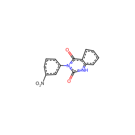 O=c1[nH]c2ccccc2c(=O)n1-c1cccc([N+](=O)[O-])c1